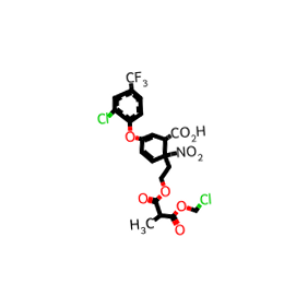 CC(C(=O)OCCl)C(=O)OCCC1([N+](=O)[O-])C=CC(Oc2ccc(C(F)(F)F)cc2Cl)=CC1C(=O)O